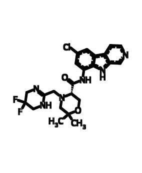 CC1(C)CN(CC2=NCC(F)(F)CN2)[C@H](C(=O)Nc2cc(Cl)cc3c2[nH]c2cnccc23)CO1